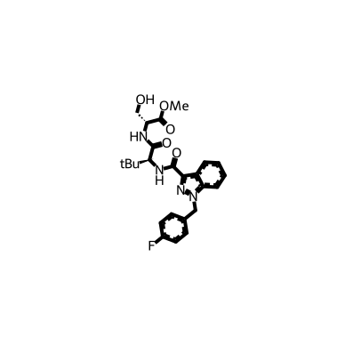 COC(=O)[C@@H](CO)NC(=O)[C@@H](NC(=O)c1nn(Cc2ccc(F)cc2)c2ccccc12)C(C)(C)C